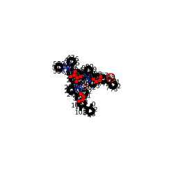 Cc1ccccc1-c1cc(-c2ccc3c(c2)N(c2c(-c4ccccc4)cccc2-c2ccccc2)c2cc(-c4ccc5c(c4)c4ccccc4n5C4=CCCC=C4)cc4c2B3c2ccc(-c3ccc5oc6ccccc6c5c3)cc2N4c2c(-c3ccccc3)cccc2-c2ccccc2)ccc1C